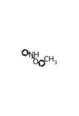 Cc1cccc(OCCNc2ccccc2)c1